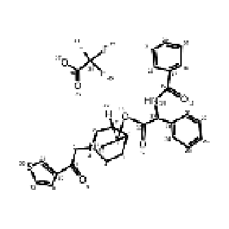 O=C(C[N+]12CCC(CC1)[C@@H](OC(=O)C(NC(=O)c1ccccc1)c1ccccc1)C2)c1ccsc1.O=C([O-])C(F)(F)F